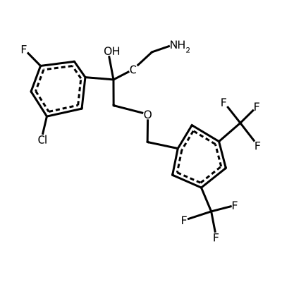 NCCC(O)(COCc1cc(C(F)(F)F)cc(C(F)(F)F)c1)c1cc(F)cc(Cl)c1